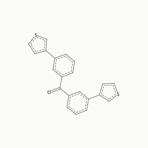 O=C(c1cccc(-c2ccsc2)c1)c1cccc(-c2ccsc2)c1